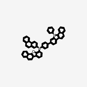 c1ccc(-n2c3cc(-c4ccc(N(c5ccc6c(ccc7ccccc76)c5)c5cccc6c5oc5c7ccccc7ccc65)cc4)ccc3c3ccc4ccccc4c32)cc1